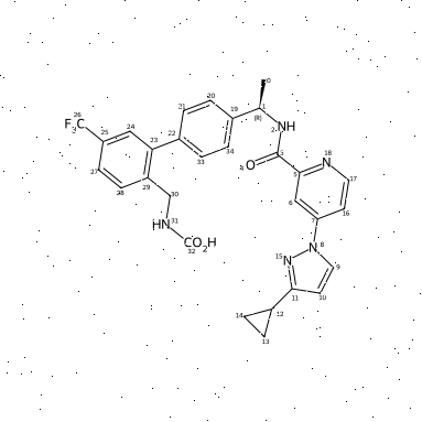 C[C@@H](NC(=O)c1cc(-n2ccc(C3CC3)n2)ccn1)c1ccc(-c2cc(C(F)(F)F)ccc2CNC(=O)O)cc1